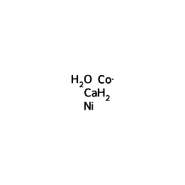 O.[CaH2].[Co].[Ni]